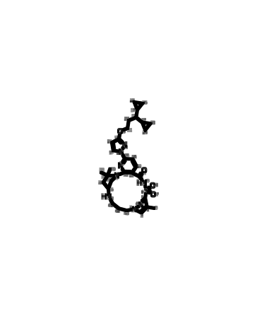 Cc1cn2nc1S(=O)(=O)NC(=O)c1ccc(-n3ccc(OCCC(C4CC4)C4CC4)n3)nc1N1CC(CC1(C)C)NCCC2